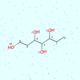 CCC(O)C(O)C(O)CCO